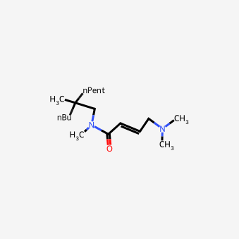 CCCCCC(C)(CCCC)CN(C)C(=O)/C=C/CN(C)C